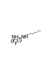 CCCCCCCCCNc1ccc(F)c(C(N)=O)c1